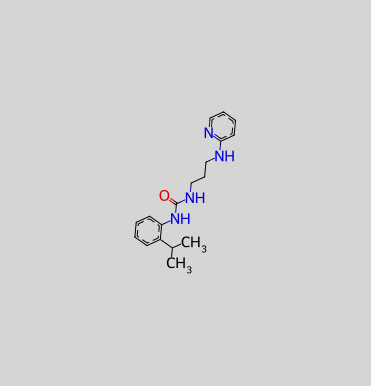 CC(C)c1ccccc1NC(=O)NCCCNc1ccccn1